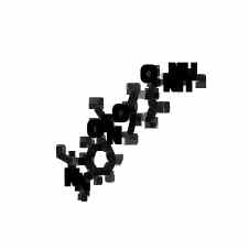 Cc1nn(C)c2ccc(N(Cc3ccc(C(=O)NN)cc3)S(C)(=O)=O)cc12